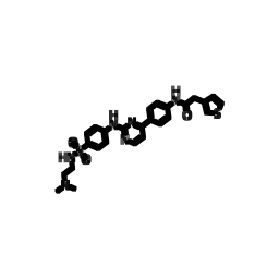 CN(C)CCNS(=O)(=O)c1ccc(Nc2nccc(-c3ccc(NC(=O)Cc4ccsc4)cc3)n2)cc1